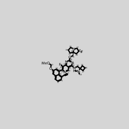 C#Cc1cccc2cc(OCOC)cc(-c3ncc4c(NCC5(N(C)C)CCC5)nc(OC[C@@]56CCCN5C[C@H](F)C6)nc4c3F)c12